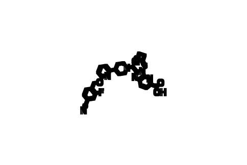 C[C@@H](c1nc2ccc(C(=O)O)nc2n1/C=C1/CCO1)N1CCC(c2cccc(OCc3ccc(C#N)cc3F)n2)CC1